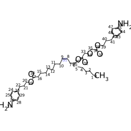 CCCCCC[C@H](C/C=C\CCCCCCCC(=O)OCCCc1ccc(N)cc1)OC(=O)COCC(=O)OCCCc1ccc(N)cc1